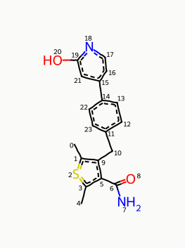 Cc1sc(C)c(C(N)=O)c1Cc1ccc(-c2ccnc(O)c2)cc1